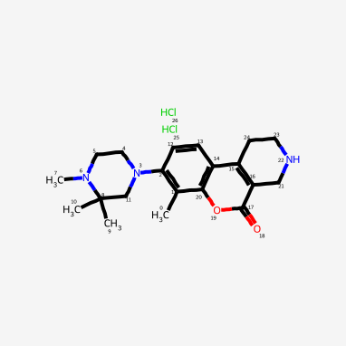 Cc1c(N2CCN(C)C(C)(C)C2)ccc2c3c(c(=O)oc12)CNCC3.Cl.Cl